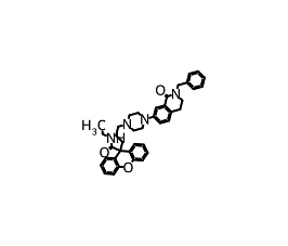 CCNC(=O)C1(CCCN2CCN(c3ccc4c(c3)C(=O)N(Cc3ccccc3)CC4)CC2)c2ccccc2Oc2ccccc21